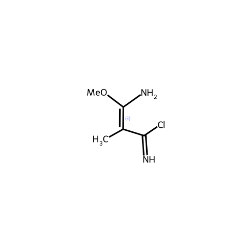 CO/C(N)=C(\C)C(=N)Cl